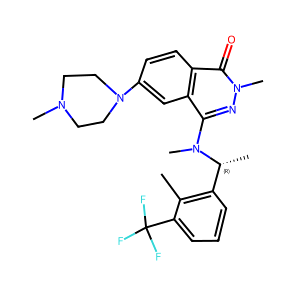 Cc1c([C@@H](C)N(C)c2nn(C)c(=O)c3ccc(N4CCN(C)CC4)cc23)cccc1C(F)(F)F